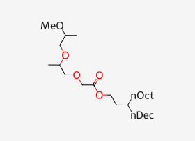 CCCCCCCCCCC(CCCCCCCC)CCOC(=O)COCC(C)OCC(C)OC